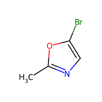 Cc1ncc(Br)o1